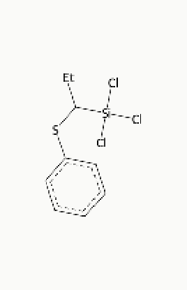 CCC(Sc1ccccc1)[Si](Cl)(Cl)Cl